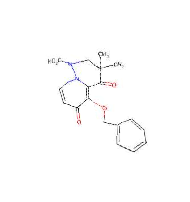 CC1(C)CN(C(=O)O)n2ccc(=O)c(OCc3ccccc3)c2C1=O